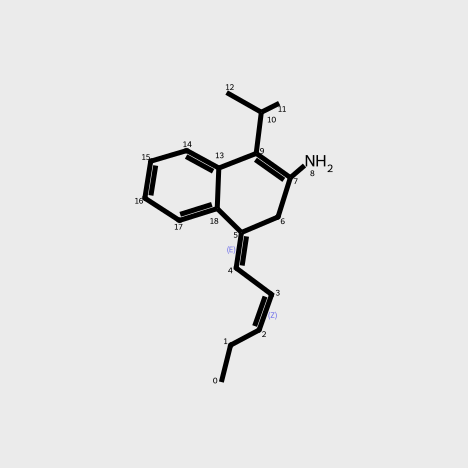 CC/C=C\C=C1/CC(N)=C(C(C)C)c2ccccc21